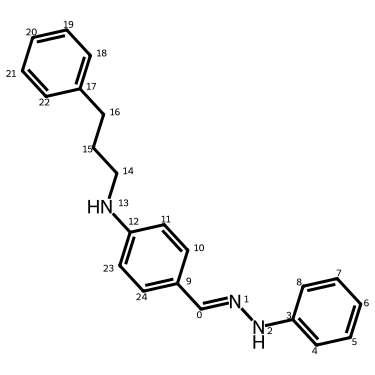 C(=NNc1ccccc1)c1ccc(NCCCc2ccccc2)cc1